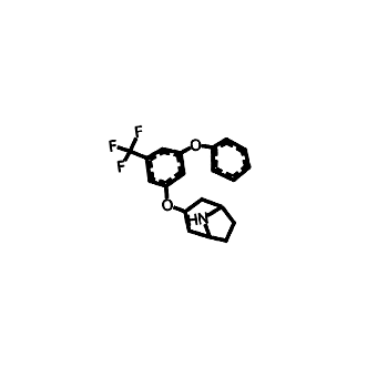 FC(F)(F)c1cc(Oc2ccccc2)cc(OC2CC3CCC(C2)N3)c1